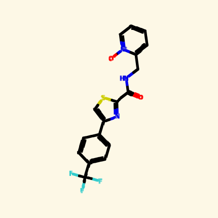 O=C(NCc1cccc[n+]1[O-])c1nc(-c2ccc(C(F)(F)F)cc2)cs1